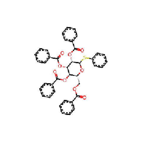 O=C(OC[C@H]1OC(Sc2ccccc2)[C@@H](OC(=O)c2ccccc2)[C@@H](OC(=O)c2ccccc2)[C@@H]1OC(=O)c1ccccc1)c1ccccc1